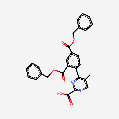 Cc1cnc(C(=O)O)nc1-c1ccc(C(=O)OCc2ccccc2)cc1C(=O)OCc1ccccc1